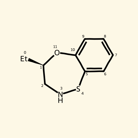 CC[C@@H]1CNSc2ccccc2O1